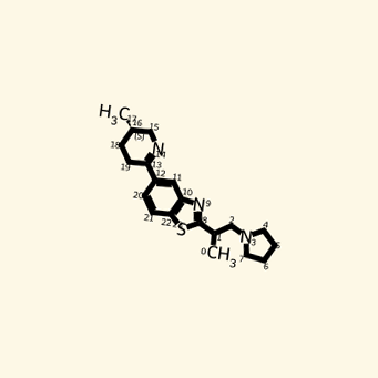 CC(CN1CCCC1)c1nc2cc(C3=NC[C@@H](C)CC3)ccc2s1